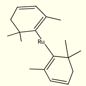 CC1=[C]([Ru][C]2=C(C)C=CCC2(C)C)C(C)(C)CC=C1